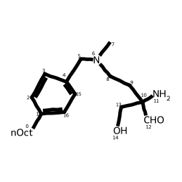 CCCCCCCCc1ccc(CN(C)CCC(N)(C=O)CO)cc1